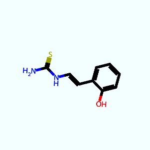 NC(=S)NC=Cc1ccccc1O